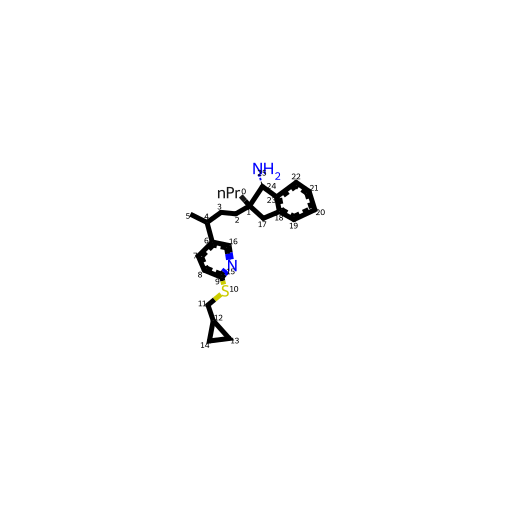 CCCC1(CCC(C)c2ccc(SCC3CC3)nc2)Cc2ccccc2[C@H]1N